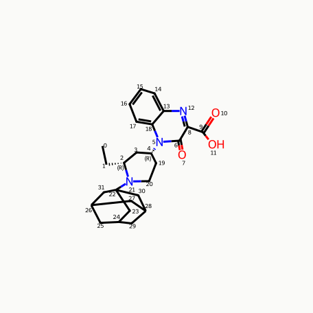 CC[C@@H]1C[C@H](n2c(=O)c(C(=O)O)nc3ccccc32)CCN1C12CC3CC(CC(C3)C1)C2